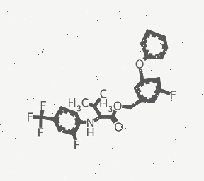 CC(C)C(Nc1ccc(C(F)(F)F)cc1F)C(=O)OCc1cc(F)cc(Oc2ccccc2)c1